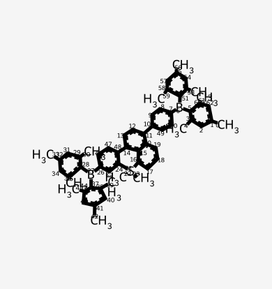 Cc1cc(C)c(B(c2ccc(-c3ccc4c5c(cccc35)S(C)(C)c3cc(B(c5c(C)cc(C)cc5C)c5c(C)cc(C)cc5C)ccc3-4)cc2)c2c(C)cc(C)cc2C)c(C)c1